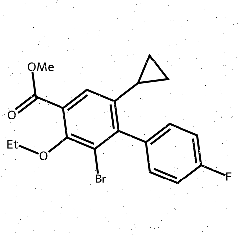 CCOc1c(C(=O)OC)cc(C2CC2)c(-c2ccc(F)cc2)c1Br